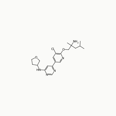 CC(C)CC(C)(N)COc1ncc(-c2cc(NC3CCOC3)ncn2)cc1Cl